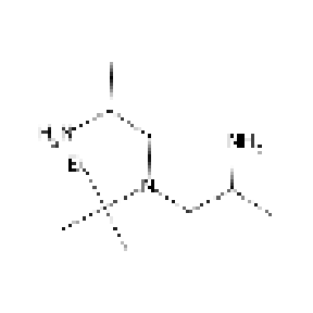 CCC(C)(C)N(CC(C)N)CC(C)N